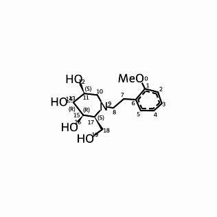 COc1ccccc1CCN1C[C@H](O)[C@@H](O)[C@H](O)[C@@H]1CO